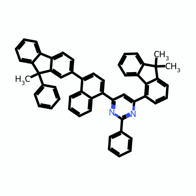 CC1(C)c2ccccc2-c2c(-c3cc(-c4ccc(-c5ccc6c(c5)C(C)(c5ccccc5)c5ccccc5-6)c5ccccc45)nc(-c4ccccc4)n3)cccc21